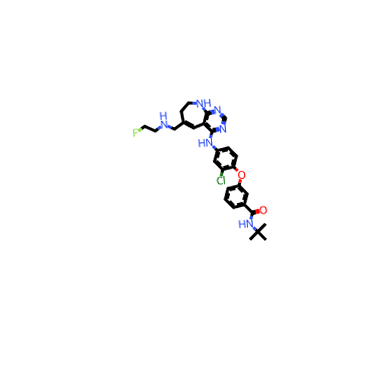 CC(C)(C)NC(=O)c1cccc(Oc2ccc(Nc3ncnc4c3C=C(CNCCF)CCN4)cc2Cl)c1